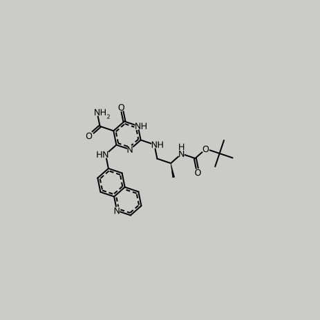 C[C@@H](CNc1nc(Nc2ccc3ncccc3c2)c(C(N)=O)c(=O)[nH]1)NC(=O)OC(C)(C)C